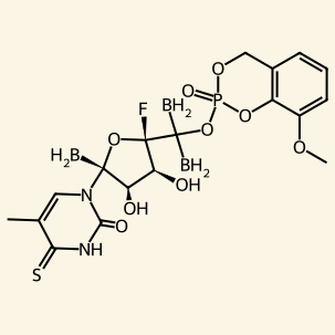 BC(B)(OP1(=O)OCc2cccc(OC)c2O1)[C@@]1(F)O[C@@](B)(n2cc(C)c(=S)[nH]c2=O)[C@H](O)[C@@H]1O